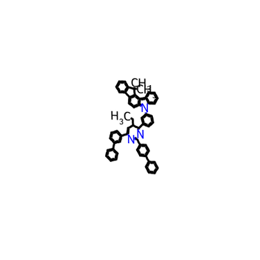 CCC1C=C(c2cccc(-c3ccccc3)c2)N=C(c2ccc(-c3ccccc3)cc2)N=C1c1cccc(-n2c3ccccc3c3c4c(ccc32)-c2ccccc2C4(C)C)c1